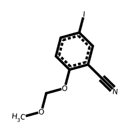 COCOc1ccc(I)cc1C#N